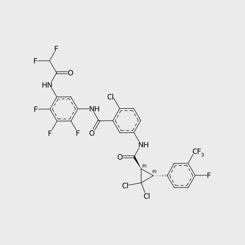 O=C(Nc1cc(NC(=O)C(F)F)c(F)c(F)c1F)c1cc(NC(=O)[C@H]2[C@H](c3ccc(F)c(C(F)(F)F)c3)C2(Cl)Cl)ccc1Cl